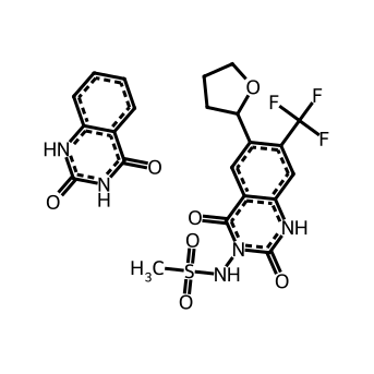 CS(=O)(=O)Nn1c(=O)[nH]c2cc(C(F)(F)F)c(C3CCCO3)cc2c1=O.O=c1[nH]c(=O)c2ccccc2[nH]1